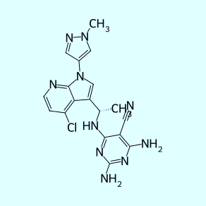 C[C@H](Nc1nc(N)nc(N)c1C#N)c1cn(-c2cnn(C)c2)c2nccc(Cl)c12